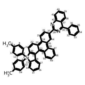 Cc1ccc([Si]2(c3ccc(C)cc3)c3ccccc3-c3c2ccc2c4ccc(-c5nc(-c6ccccc6)c6ccccc6n5)cc4c4ccccc4c32)cc1